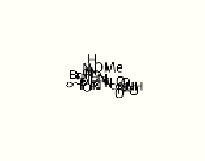 COc1cc(N2CCN(c3ccc4c(c3)C(=O)N(C3CCC(=O)NC3=O)C4=O)CC2)c(-c2cnn(C)c2)cc1Nc1ncc(Br)c(Nc2ccc(-c3ccccc3)cc2P(C)(C)=O)n1